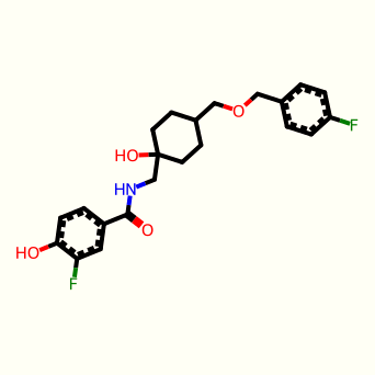 O=C(NCC1(O)CCC(COCc2ccc(F)cc2)CC1)c1ccc(O)c(F)c1